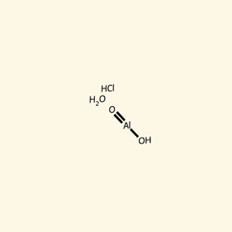 Cl.O.[O]=[Al][OH]